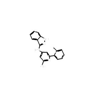 Cc1cc(Nc2n[nH]c3ccccc23)cc(-c2ccccc2Cl)n1